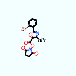 CCCc1nc(-c2ccccc2Br)oc1C(=O)ON1C(=O)CCC1=O